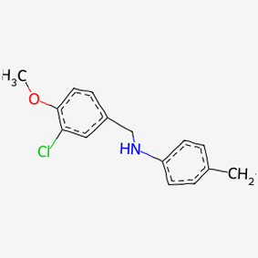 [CH2]c1ccc(NCc2ccc(OC)c(Cl)c2)cc1